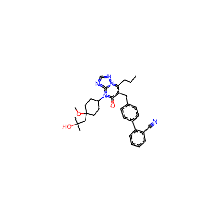 CCCc1c(Cc2ccc(-c3ccccc3C#N)cc2)c(=O)n(C2CCC(CC(C)(C)O)(OC)CC2)c2ncnn12